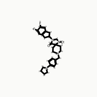 CCN1CN(C2Cc3cc(F)c(F)cc3C2)C(=O)C12CCN(Cc1ccc(N3CCCC3)cc1)CC2